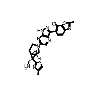 Cc1csc([C@@]2(CN)[C@@H]3CCN(c4cnc5c(-c6ccc7nc(C)sc7c6Cl)n[nH]c5n4)C[C@@H]32)n1